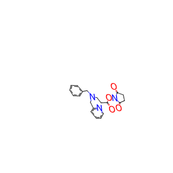 O=C(CCN(Cc1ccccc1)Cc1ccccn1)ON1C(=O)CCC1=O